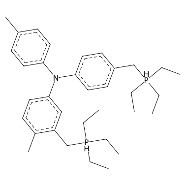 CC[PH](CC)(CC)Cc1ccc(N(c2ccc(C)cc2)c2ccc(C)c(C[PH](CC)(CC)CC)c2)cc1